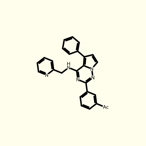 CC(=O)c1cccc(-c2nc(NCc3ccccn3)c3c(-c4ccccc4)ccn3n2)c1